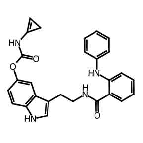 O=C(NC1=CC1)Oc1ccc2[nH]cc(CCNC(=O)c3ccccc3Nc3ccccc3)c2c1